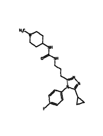 CN1CCC(NC(=O)NCCCc2nnc(C3CC3)n2-c2ccc(F)cc2)CC1